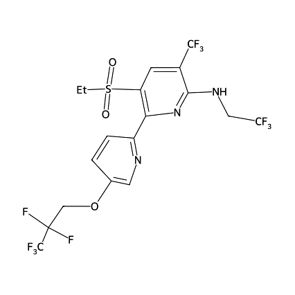 CCS(=O)(=O)c1cc(C(F)(F)F)c(NCC(F)(F)F)nc1-c1ccc(OCC(F)(F)C(F)(F)F)cn1